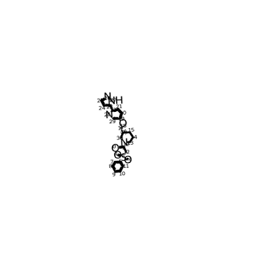 O=C(CS(=O)(=O)c1ccccc1)N1CCC[C@@H](COc2ccc(-c3ccn[nH]3)nc2)C1